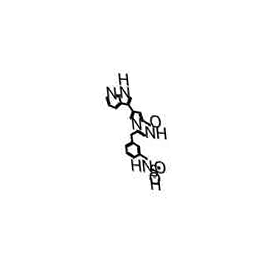 O=c1[nH]cc(Cc2cccc(CN[SH](=O)=O)c2)n2cc(-c3c[nH]c4ncccc34)cc12